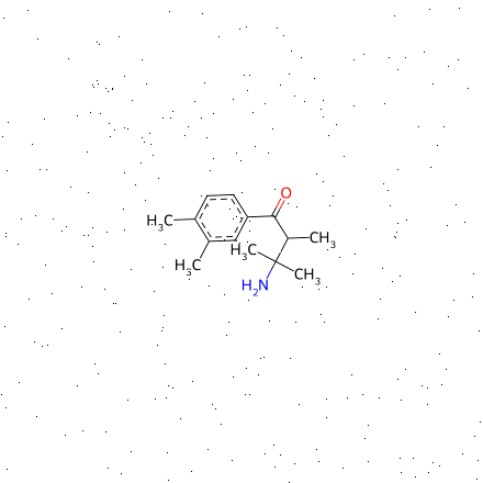 Cc1ccc(C(=O)C(C)C(C)(C)N)cc1C